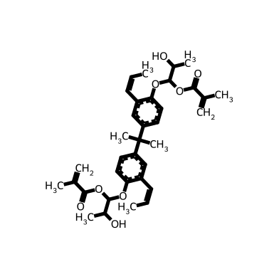 C=C(C)C(=O)OC(Oc1ccc(C(C)(C)c2ccc(OC(OC(=O)C(=C)C)C(C)O)c(/C=C\C)c2)cc1/C=C\C)C(C)O